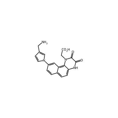 NCc1ccn(-c2ccc3ccc4[nH]c(=O)c(=O)n(CC(=O)O)c4c3c2)c1